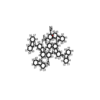 N#Cc1ccc(-c2ccc(-c3ccc(C#N)cc3C(F)(F)F)cc2-n2c3ccc(-n4c5ccccc5c5ccccc54)cc3c3cc(-n4c5ccccc5c5ccccc54)ccc32)c(-n2c3ccc(-n4c5ccccc5c5ccccc54)cc3c3cc(-n4c5ccccc5c5ccccc54)ccc32)c1